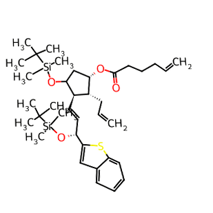 C=CCCCC(=O)O[C@H]1CC(O[Si](C)(C)C(C)(C)C)[C@H](/C=C/[C@@H](O[Si](C)(C)C(C)(C)C)c2cc3ccccc3s2)[C@H]1CC=C